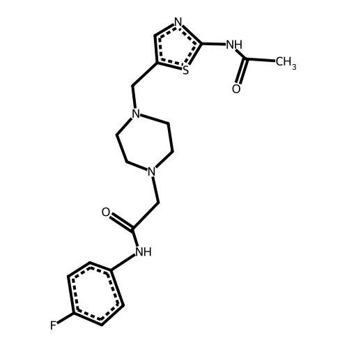 CC(=O)Nc1ncc(CN2CCN(CC(=O)Nc3ccc(F)cc3)CC2)s1